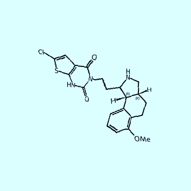 COc1cccc2c1CC[C@H]1CNC(CCn3c(=O)[nH]c4sc(Cl)cc4c3=O)[C@@H]21